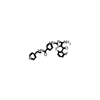 Nc1nc(Nc2ccc(C(=O)NCCc3ccncc3)cc2)sc1C(=O)c1c(F)cccc1F